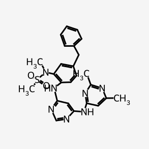 Cc1cc(Nc2cc(Nc3ccc(Cc4ccccc4)cc3N(C)S(C)(=O)=O)ncn2)nc(C)n1